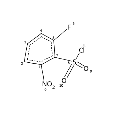 O=[N+]([O-])c1cccc(F)c1S(=O)(=O)Cl